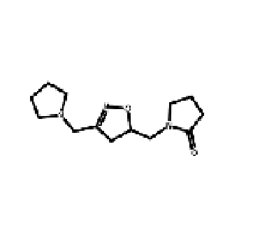 O=C1CCCN1CC1CC(CN2CCCC2)=NO1